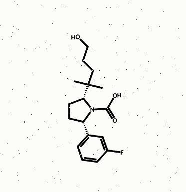 CC(C)(CCCO)[C@H]1CC[C@@H](c2cccc(F)c2)N1C(=O)O